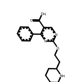 O=C(O)c1cnc(OCCC2CCCCN2)nc1-c1ccccc1